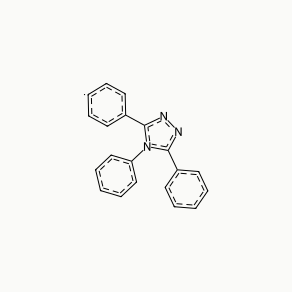 [c]1ccc(-c2nnc(-c3ccccc3)n2-c2ccccc2)cc1